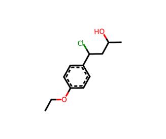 CCOc1ccc(C(Cl)CC(C)O)cc1